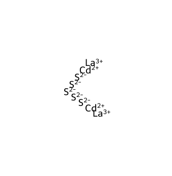 [Cd+2].[Cd+2].[La+3].[La+3].[S-2].[S-2].[S-2].[S-2].[S-2]